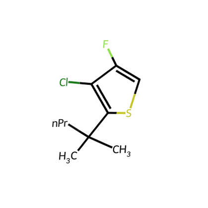 CCCC(C)(C)c1scc(F)c1Cl